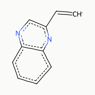 [CH]=Cc1cnc2ccccc2n1